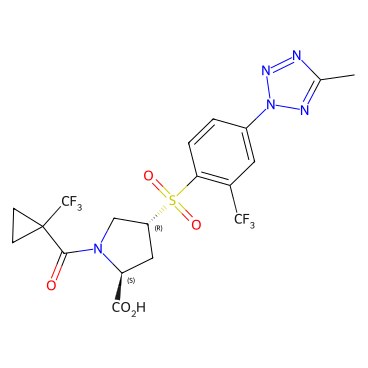 Cc1nnn(-c2ccc(S(=O)(=O)[C@@H]3C[C@@H](C(=O)O)N(C(=O)C4(C(F)(F)F)CC4)C3)c(C(F)(F)F)c2)n1